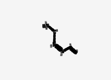 C=C/N=N\ON